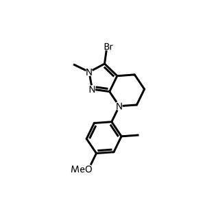 COc1ccc(N2CCCc3c2nn(C)c3Br)c(C)c1